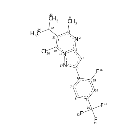 Cc1nc2cc(-c3ccc(C(F)(F)F)cc3F)nn2c(Cl)c1C(C)C